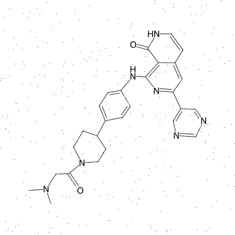 CN(C)CC(=O)N1CCC(c2ccc(Nc3nc(-c4cncnc4)cc4cc[nH]c(=O)c34)cc2)CC1